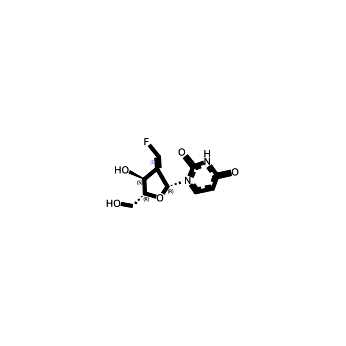 O=c1ccn([C@@H]2O[C@H](CO)[C@@H](O)/C2=C\F)c(=O)[nH]1